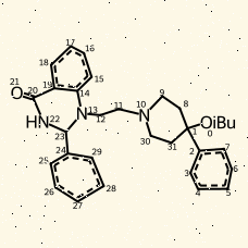 CC(C)COC1(c2ccccc2)CCN(CCN2c3ccccc3C(=O)NC2c2ccccc2)CC1